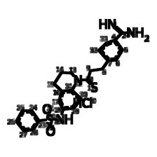 Cl.N=C(N)c1ccc(CCC(=S)N2CCCc3cc(NS(=O)(=O)c4ccccc4)ccc32)cc1